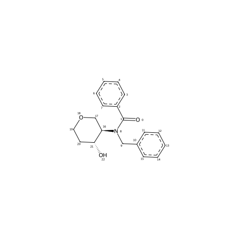 O=C(c1ccccc1)N(Cc1ccccc1)[C@@H]1COCC[C@H]1O